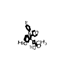 C[C@]1(C(=O)O)C[C@@H](c2c(C3CCOCC3)n(-c3ccc(F)cc3)c3ccc(O)cc32)C1